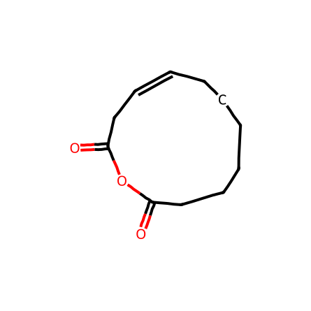 O=C1CC=CCCCCCCC(=O)O1